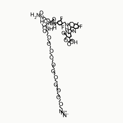 CC[C@@]1(O)C(=O)OCc2c1cc1n(c2=O)Cc2c-1nc1cc(F)c(C)c3c1c2[C@@H](NCc1c(F)cc(NC(=O)[C@H](CCCNC(N)=O)NC(=O)[C@@H](NC(=O)CCOCCOCCOCCOCCOCCOCCOCCOCCOCCOCCOCCN=[N+]=[N-])C(C)C)cc1F)CC3